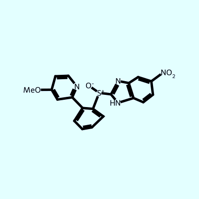 COc1ccnc(-c2ccccc2[S+]([O-])c2nc3cc([N+](=O)[O-])ccc3[nH]2)c1